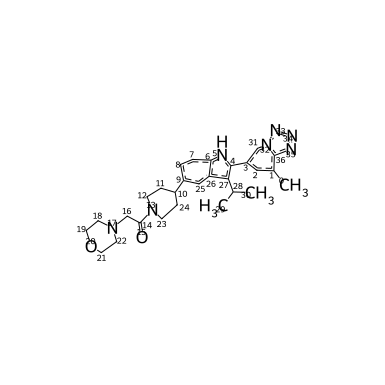 Cc1cc(-c2[nH]c3ccc(C4CCN(C(=O)CN5CCOCC5)CC4)cc3c2C(C)C)cn2nnnc12